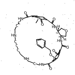 Cn1c2ccc(c1=O)C(=O)N[C@@H]1COC[C@@H]1NC(=O)c1ccc(n(OCc3ccccc3)c1=O)C(=O)NCCCNCCCCNCCCNC2=O